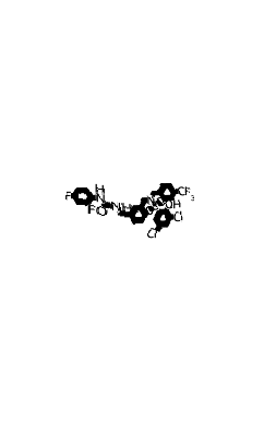 O=C(NCc1cccc(CN(Cc2ccc(C(F)(F)F)cc2)S(=O)(=O)c2cc(Cl)cc(Cl)c2O)c1)NC1CC=C(F)C=C1F